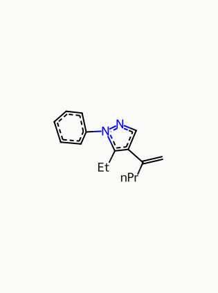 C=C(CCC)c1cnn(-c2ccccc2)c1CC